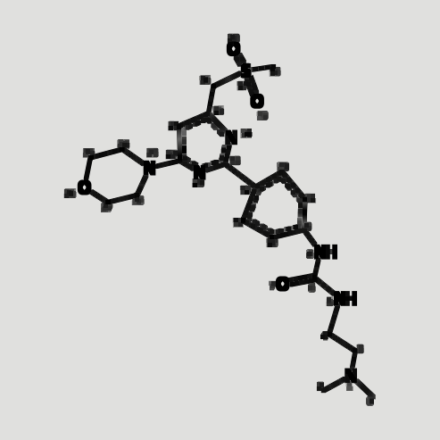 CN(C)CCNC(=O)Nc1ccc(-c2nc(CS(C)(=O)=O)cc(N3CCOCC3)n2)cc1